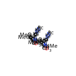 CNC(=O)N1N=C(c2ccc(N3CCN(C(C)=O)CC3)cc2)c2cc(OC)c(OC)cc2CC1C.CNC(=O)N1N=C(c2ccc(N3CCN(C(C)=O)CC3)cc2)c2cc(OC)c(OC)cc2C[C@@H]1C